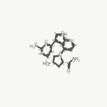 NC(=O)[C@@H]1C[C@H](O)CN1c1ccnc2[nH]cc(-c3ccnc(N)n3)c12